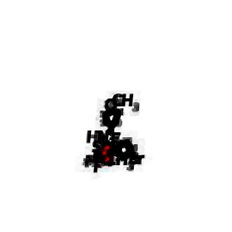 COC(=O)[C@]12SC(NCc3ccc(OC)cc3)=N[C@](C)(c3cc(Br)ccc3F)[C@@H]1C2(F)F